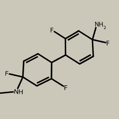 CNC1(F)C=CC(C2C=CC(N)(F)C=C2F)C(F)=C1